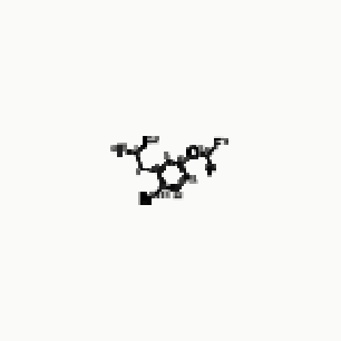 FC(F)Cc1cc(OC(F)F)ccc1Br